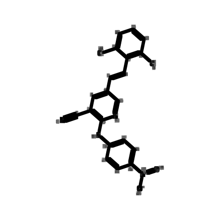 N#Cc1cc(C=Cc2c(Cl)cccc2Cl)cnc1Sc1ccc([N+](=O)[O-])cc1